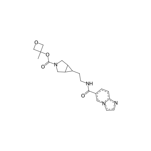 CC1(OC(=O)N2CC3C(CCNC(=O)c4ccc5nccn5c4)C3C2)COC1